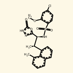 COc1cc(Cl)ccc1S(=O)(=O)N[C@H](c1n[nH]c(=O)o1)[C@H](C)c1cccc2cccc(C)c12